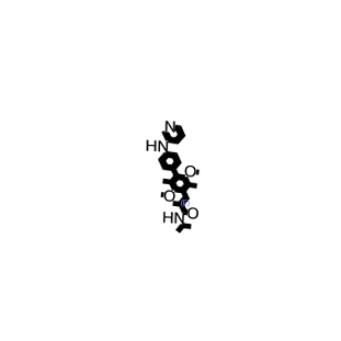 COc1c(C)c(-c2ccc(Nc3cccnc3)cc2)c(OC)c(C)c1/C=C(\C)C(=O)NC(C)C